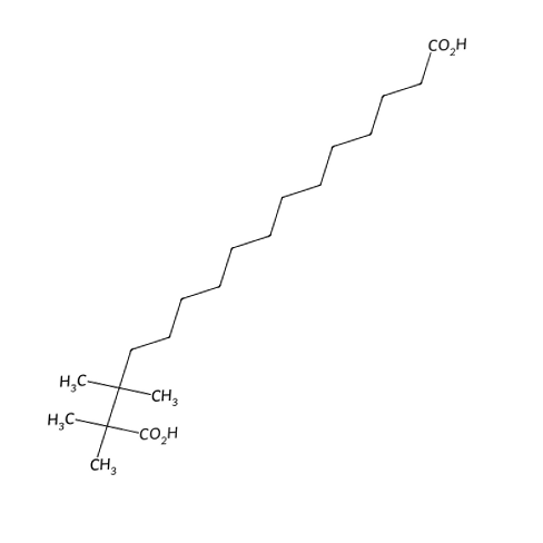 CC(C)(CCCCCCCCCCCCC(=O)O)C(C)(C)C(=O)O